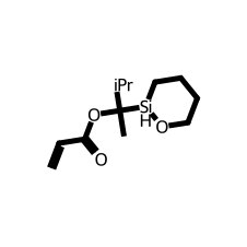 C=CC(=O)OC(C)(C(C)C)[SiH]1CCCCO1